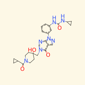 O=C(Nc1cccc(-n2ncc3c(=O)n(CC4(O)CCN(C(=O)C5CC5)CC4)cnc32)c1)NC1CC1